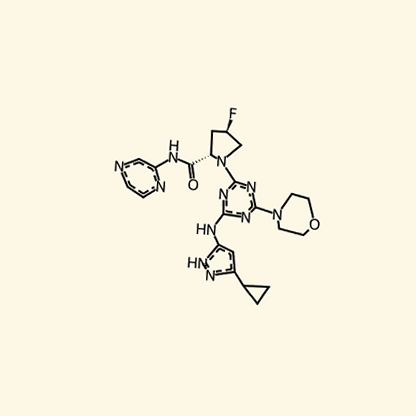 O=C(Nc1cnccn1)[C@@H]1C[C@@H](F)CN1c1nc(Nc2cc(C3CC3)n[nH]2)nc(N2CCOCC2)n1